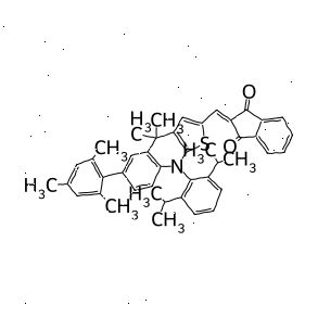 Cc1cc(C)c(-c2ccc3c(c2)C(C)(C)c2cc(C=C4C(=O)c5ccccc5C4=O)sc2N3c2c(C(C)C)cccc2C(C)C)c(C)c1